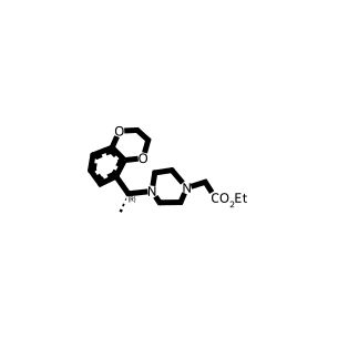 CCOC(=O)CN1CCN([C@H](C)c2cccc3c2OCCO3)CC1